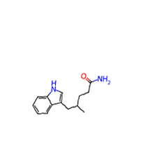 CC(CCC(N)=O)Cc1c[nH]c2ccccc12